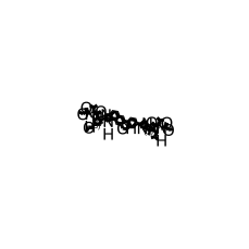 COC[C@H]1C[C@@H](c2nc3ccc4cc5c(cc4c3[nH]2)OCc2cc(-c3cnc([C@H](C)N(CC(C)C)C(=O)[C@@H](NC(=O)OC)C(C)C)[nH]3)ccc2-5)N(C(=O)[C@@H](NC(=O)OC)C(C)C)C1